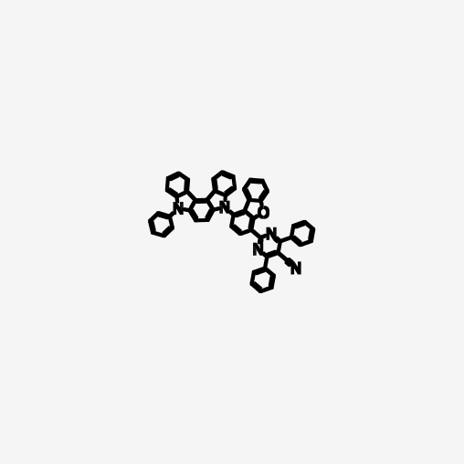 N#Cc1c(-c2ccccc2)nc(-c2ccc(-n3c4ccccc4c4c5c6ccccc6n(-c6ccccc6)c5ccc43)c3c2oc2ccccc23)nc1-c1ccccc1